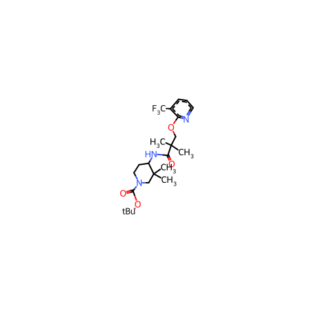 CC(C)(C)OC(=O)N1CCC(NC(=O)C(C)(C)COc2ncccc2C(F)(F)F)C(C)(C)C1